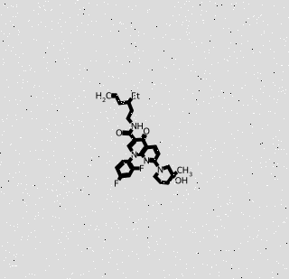 C=CCC(CC)CCNC(=O)c1cn(-c2ccc(F)cc2F)c2nc(N3CCCC(C)(O)C3)ccc2c1=O